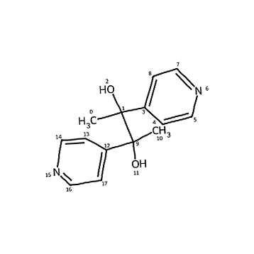 CC(O)(c1ccncc1)C(C)(O)c1ccncc1